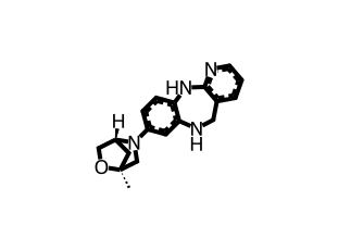 C[C@@]12C[C@H](CO1)N(c1ccc3c(c1)NCc1cccnc1N3)C2